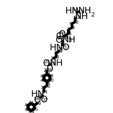 COC(NC(=O)C=CCCCCNC(=N)N)C(=O)NCCCCNC(=O)OCc1ccc(CCCNC(=O)OCc2ccccc2)cc1